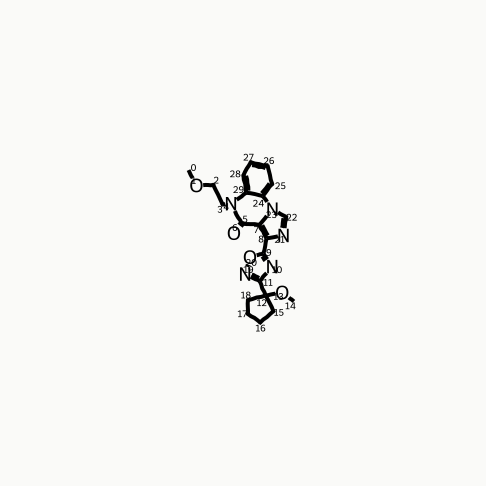 COCCn1c(=O)c2c(-c3nc(C4(OC)CCCC4)no3)ncn2c2ccccc21